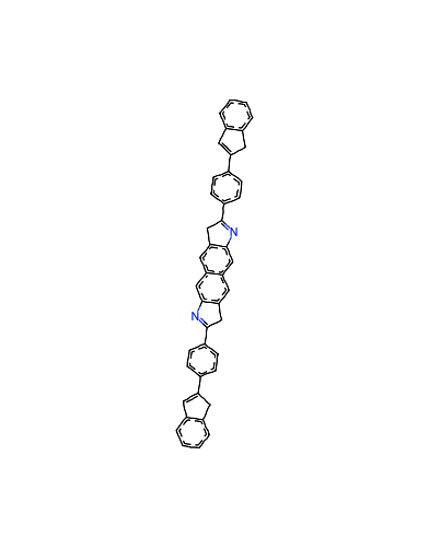 C1=C(c2ccc(C3=Nc4cc5cc6c(cc5cc4C3)N=C(c3ccc(C4=Cc5ccccc5C4)cc3)C6)cc2)Cc2ccccc21